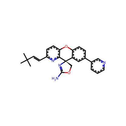 CC(C)(C)C=Cc1ccc2c(n1)[C@]1(COC(N)=N1)c1cc(-c3cccnc3)ccc1O2